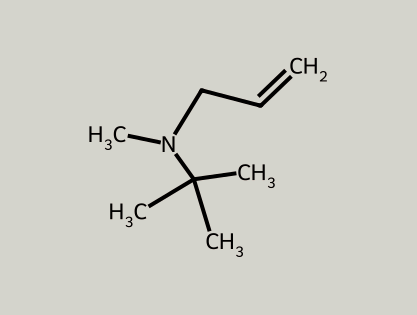 C=CCN(C)C(C)(C)C